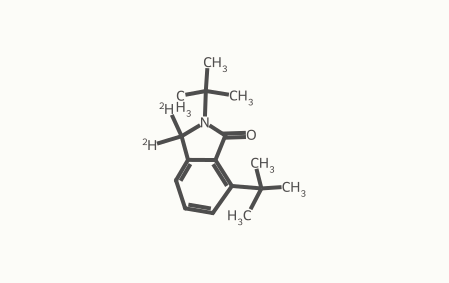 [2H]C1([2H])c2cccc(C(C)(C)C)c2C(=O)N1C(C)(C)C